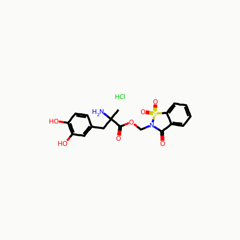 CC(N)(Cc1ccc(O)c(O)c1)C(=O)OCN1C(=O)c2ccccc2S1(=O)=O.Cl